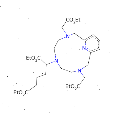 CCOC(=O)CCCC(C(=O)OCC)N1CCN(CC(=O)OCC)Cc2cccc(n2)CN(CC(=O)OCC)CC1